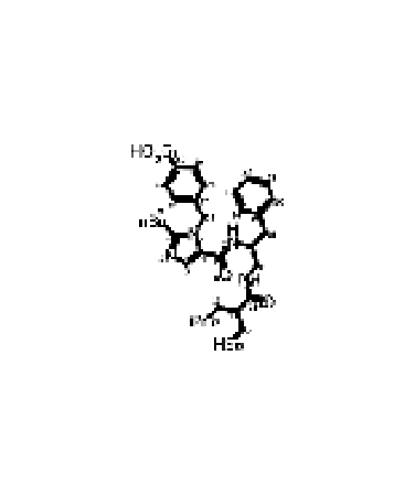 CCCCc1ncc(C(=O)NC(CNC(=O)C(CS)CC(C)C)Cc2ccccc2)n1Cc1ccc(C(=O)O)cc1